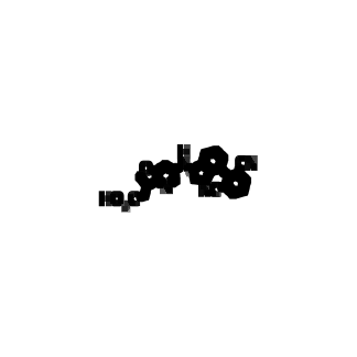 N#Cc1cccc(C#N)c1-c1cccc2c1CC[C@H]2Nc1cnc2c(c1)OCC2CC(=O)O